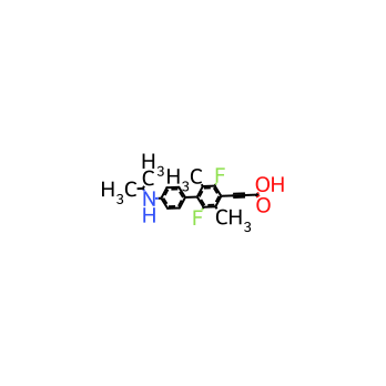 Cc1c(F)c(-c2ccc(NC(C)C)cc2)c(C)c(F)c1C#CC(=O)O